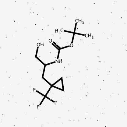 CC(C)(C)OC(=O)NC(CO)CC1(C(F)(F)F)CC1